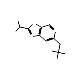 CC(C)c1nc2cc(CC(C)(C)C)ncc2o1